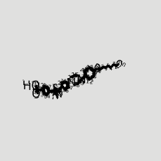 COCCCCCCCOC1CCC(N2CCN(c3ccc(-c4nnc(-c5ccc(C(=O)O)cc5)s4)cc3)CC2)CC1